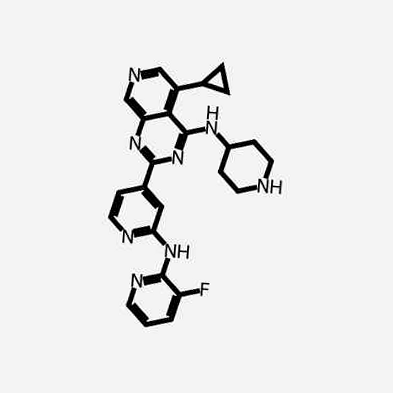 Fc1cccnc1Nc1cc(-c2nc(NC3CCNCC3)c3c(C4CC4)cncc3n2)ccn1